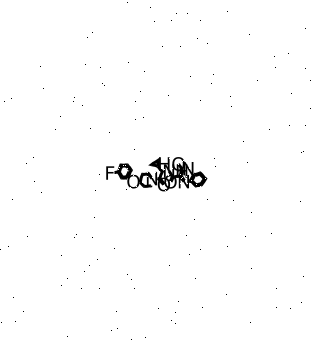 O=C(N[C@H](C(=O)N1CCC(Oc2cccc(F)c2)CC1)C1CC1)c1nc2ccccc2nc1O